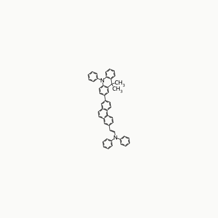 CC1(C)c2ccccc2N(c2ccccc2)c2ccc(-c3ccc4c(ccc5cc(/C=C/N(c6ccccc6)c6ccccc6)ccc54)c3)cc21